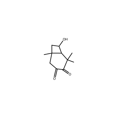 CC12CC(=O)C(=O)C(C)(C)C1C(O)C2